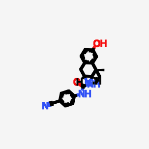 CN1CC[C@@]2(C)c3cc(O)ccc3C[C@@H]1[C@@H]2NC(=O)Nc1ccc(C#N)cc1